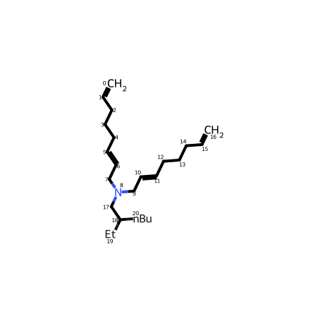 C=CCCCC=CCN(CC=CCCCC=C)CC(CC)CCCC